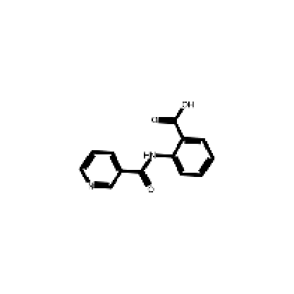 O=C(Nc1ccccc1C(=O)O)c1cccnc1